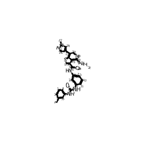 Cc1cccc(NC(=O)Nc2cccc(NC(=O)c3csc4c(-c5cnn(C)c5)cnc(N)c34)c2)c1